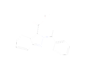 COC(=O)c1c2ccccc2nn1C(C)c1ccccc1